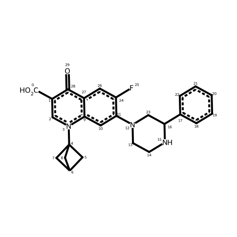 O=C(O)c1cn(C23CC(C2)C3)c2cc(N3CCNC(c4ccccc4)C3)c(F)cc2c1=O